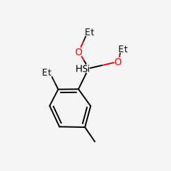 CCO[SiH](OCC)c1cc(C)ccc1CC